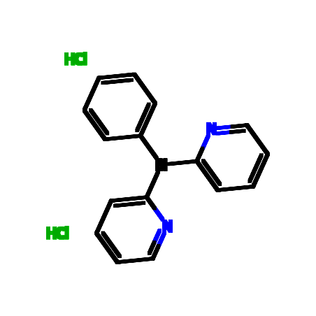 Cl.Cl.c1cc[c]([Bi]([c]2ccccn2)[c]2ccccn2)cc1